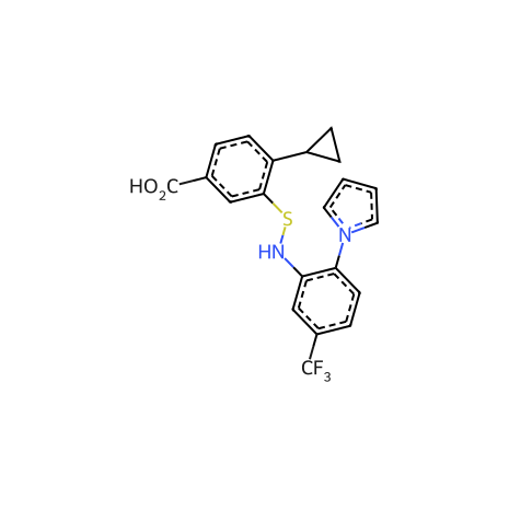 O=C(O)c1ccc(C2CC2)c(SNc2cc(C(F)(F)F)ccc2-n2cccc2)c1